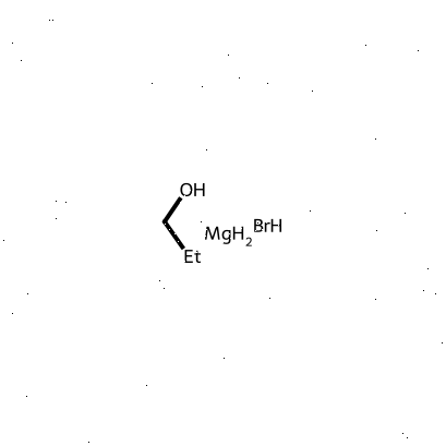 Br.CCCO.[MgH2]